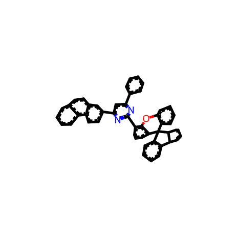 C1=CC2c3ccccc3C3(c4ccccc4Oc4c(-c5nc(-c6ccccc6)cc(-c6ccc7c(ccc8ccccc87)c6)n5)cccc43)C2C=C1